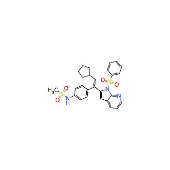 CS(=O)(=O)Nc1ccc(C(=CC2CCCC2)c2cc3cccnc3n2S(=O)(=O)c2ccccc2)cc1